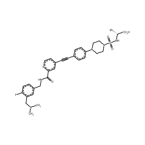 CC(C)[C@@H](NS(=O)(=O)N1CCN(c2ccc(C#Cc3ccnc(C(=O)NCc4ccc(F)c(CN(C)C)c4)c3)cc2)CC1)C(=O)O